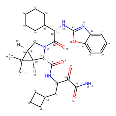 CC1(C)[C@@H]2[C@@H](C(=O)NC(CC3CCC3)C(=O)C(N)=O)N(C(=O)[C@@H](Nc3nc4ccccc4o3)C3CCCCC3)C[C@@H]21